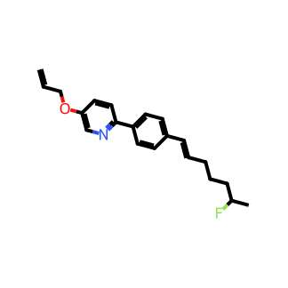 C=CCOc1ccc(-c2ccc(C=CCCCC(C)F)cc2)nc1